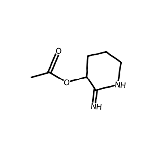 CC(=O)OC1CCCNC1=N